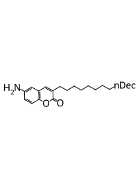 CCCCCCCCCCCCCCCCCCc1cc2cc(N)ccc2oc1=O